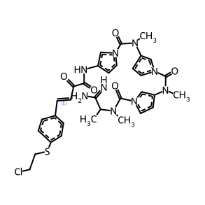 CC(C(=N)N)N(C)C(=O)n1ccc(N(C)C(=O)n2ccc(N(C)C(=O)n3ccc(NC(=O)C(=O)/C=C/c4ccc(SCCCl)cc4)c3)c2)c1